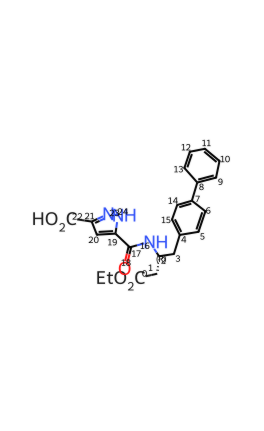 CCOC(=O)C[C@@H](Cc1ccc(-c2ccccc2)cc1)NC(=O)c1cc(C(=O)O)n[nH]1